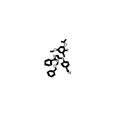 CCOc1cc(CN(c2ccc(C#N)cc2)c2cnc(-c3ccccc3)n2COCc2ccccc2)c(F)c(OC(C)C)c1